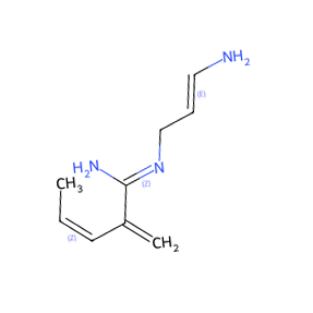 C=C(/C=C\C)/C(N)=N/C/C=C/N